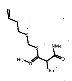 C=CCCSCSC(=NO)C(C(=O)NC)C(C)(C)C